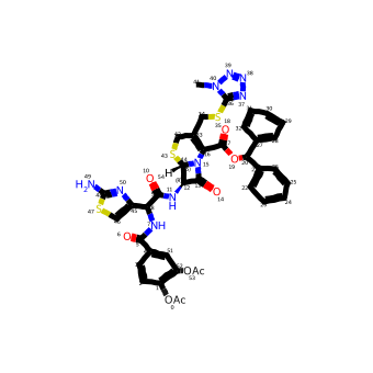 CC(=O)Oc1ccc(C(=O)NC(C(=O)N[C@@H]2C(=O)N3C(C(=O)OC(c4ccccc4)c4ccccc4)=C(CSc4nnnn4C)CS[C@@H]23)c2csc(N)n2)cc1OC(C)=O